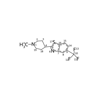 CN1CCC(c2nc3cc(C(F)(F)F)ccc3s2)CC1